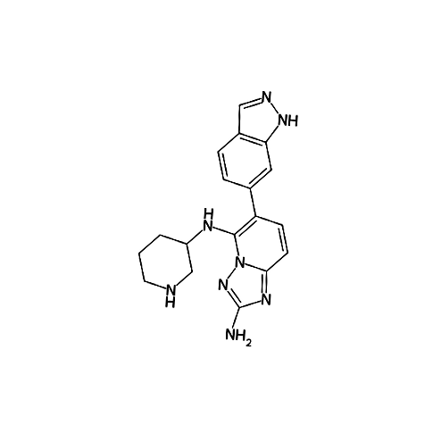 Nc1nc2ccc(-c3ccc4cn[nH]c4c3)c(NC3CCCNC3)n2n1